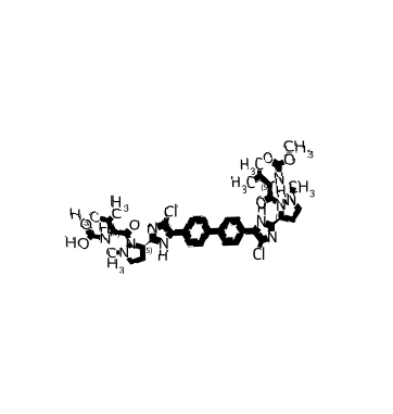 COC(=O)N[C@H](C(=O)N1[C@H](c2nc(Cl)c(-c3ccc(-c4ccc(-c5[nH]c([C@@H]6CCN(C)N6C(=O)[C@@H](NC(=O)O)C(C)C)nc5Cl)cc4)cc3)[nH]2)CCN1C)C(C)C